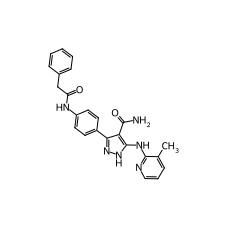 Cc1cccnc1Nc1[nH]nc(-c2ccc(NC(=O)Cc3ccccc3)cc2)c1C(N)=O